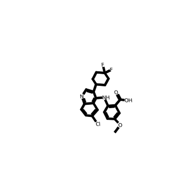 COc1ccc(Nc2c(C3CCC(F)(F)CC3)cnc3ccc(Cl)cc23)c(C(=O)O)c1